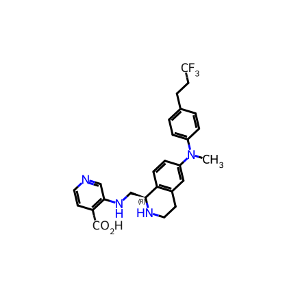 CN(c1ccc(CCC(F)(F)F)cc1)c1ccc2c(c1)CCN[C@H]2CNc1cnccc1C(=O)O